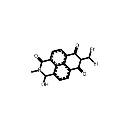 CCC(CC)C1C(=O)c2ccc3c4c(ccc(c24)C1=O)C(O)N(C)C3=O